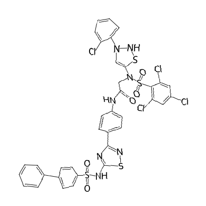 O=C(CN(C1=CN(c2ccccc2Cl)NS1)S(=O)(=O)c1c(Cl)cc(Cl)cc1Cl)Nc1ccc(-c2nsc(NS(=O)(=O)c3ccc(-c4ccccc4)cc3)n2)cc1